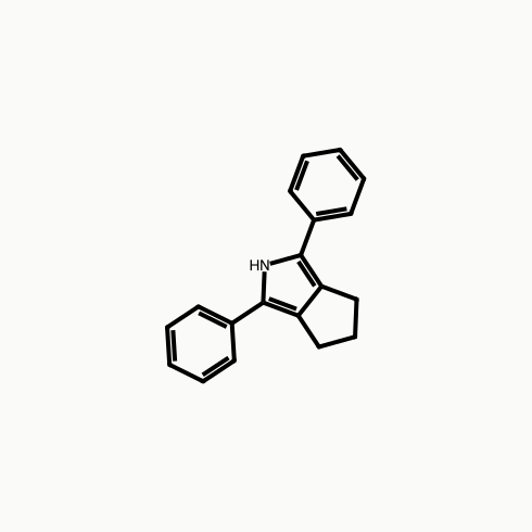 c1ccc(-c2[nH]c(-c3ccccc3)c3c2CCC3)cc1